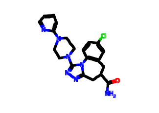 NC(=O)C1Cc2cc(Cl)ccc2-n2c(nnc2N2CCN(c3ccccn3)CC2)C1